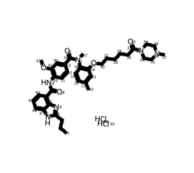 CCCc1nc2c(C(=O)Nc3ccc(C(=O)N(C)c4ccc(C)cc4OCCCCCC(=O)N4CCN(C)CC4)cc3OC)cccc2[nH]1.Cl.Cl